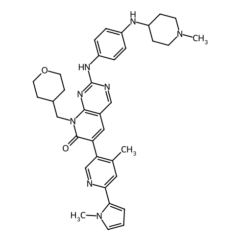 Cc1cc(-c2cccn2C)ncc1-c1cc2cnc(Nc3ccc(NC4CCN(C)CC4)cc3)nc2n(CC2CCOCC2)c1=O